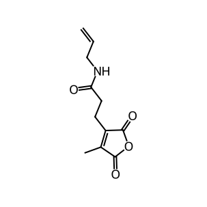 C=CCNC(=O)CCC1=C(C)C(=O)OC1=O